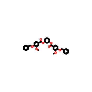 COc1cc(C(=O)O[C@@H]2CCC[C@@H](OC(=O)c3ccc(OCc4ccccc4)c(OC)c3)C2)ccc1OCc1ccccc1